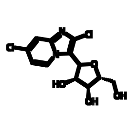 OC[C@H]1OC(c2c(Cl)nc3cc(Cl)ccn23)[C@H](O)[C@@H]1O